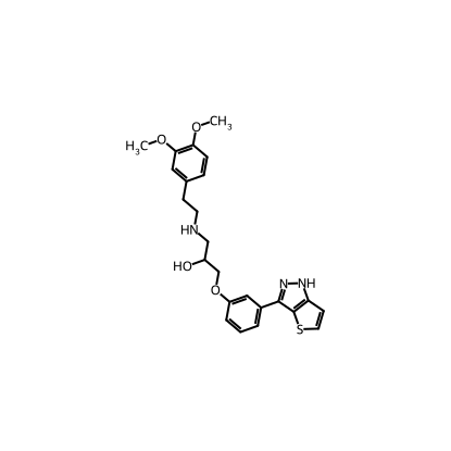 COc1ccc(CCNCC(O)COc2cccc(-c3n[nH]c4ccsc34)c2)cc1OC